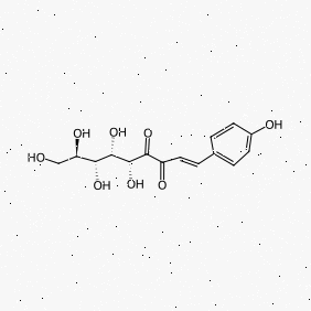 O=C(/C=C/c1ccc(O)cc1)C(=O)[C@H](O)[C@@H](O)[C@H](O)[C@H](O)CO